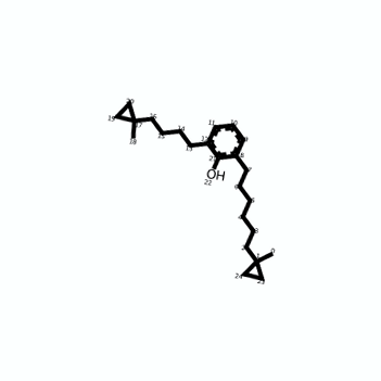 CC1(CCCCCCc2cccc(CCCCC3(C)CC3)c2O)CC1